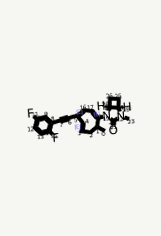 CC1C/C=C/C(C#Cc2cc(F)ccc2F)=C\C=C/1N1C(=O)N(C)[C@H]2CC[C@H]21